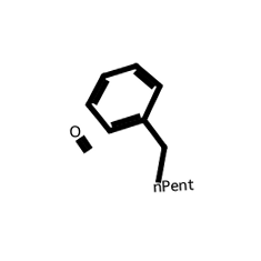 C=O.CCCCCCc1ccccc1